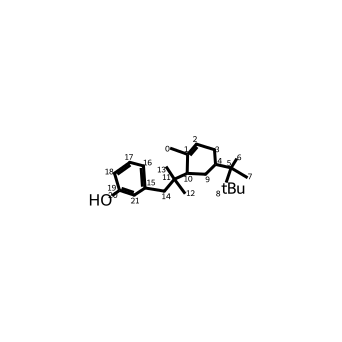 CC1=CCC(C(C)(C)C(C)(C)C)CC1C(C)(C)Cc1cccc(O)c1